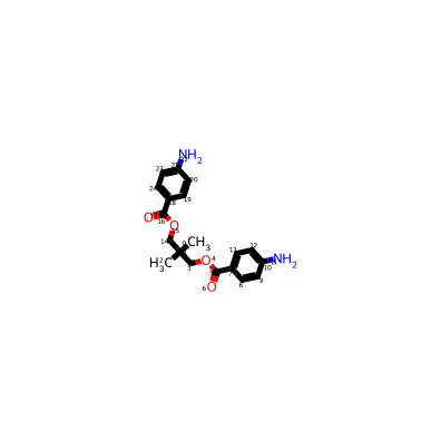 CC(C)(COC(=O)c1ccc(N)cc1)COC(=O)c1ccc(N)cc1